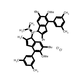 COc1c(C(C)(C)C)cc2c(c1-c1cc(C)cc(C)c1)C=C(C)[CH]2[Hf+2]([CH]1C(C(C)C)=Cc2c1cc(C(C)(C)C)c(OC)c2-c1cc(C)cc(C)c1)=[Si](C)C.[Cl-].[Cl-]